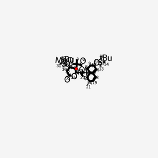 COCC(C)(C)C(=O)O[C@H]1C[C@H](O[Si](C)(C)C(C)(C)C)C=C2C=C[C@H](C)[C@H](CC[C@@H]3C[C@@H](O[Si](C)(C)C(C)(C)C)CC(=O)O3)[C@H]21